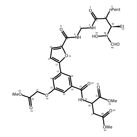 CCCCCC(C(=O)NCNC(=O)c1ccc(-c2cc(OCC(=O)OC)cc(C(=O)NC(CC(=O)OC)C(=O)OC)c2)o1)[C@@H](CC)N(O)C=O